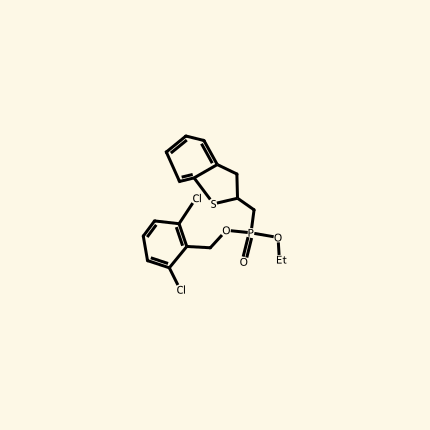 CCOP(=O)(CC1Cc2ccccc2S1)OCc1c(Cl)cccc1Cl